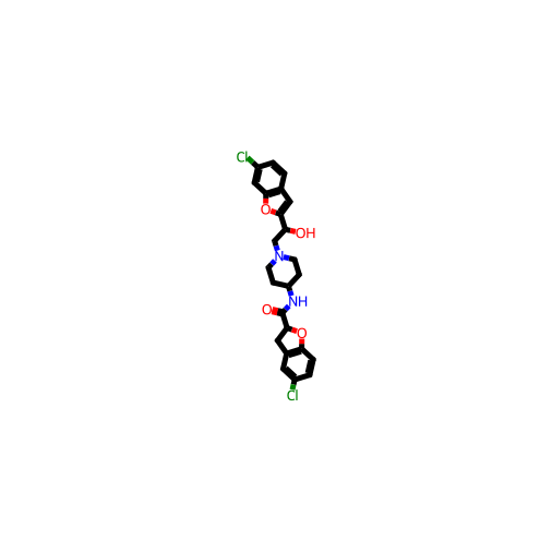 O=C(NC1CCN(CC(O)c2cc3ccc(Cl)cc3o2)CC1)C1Cc2cc(Cl)ccc2O1